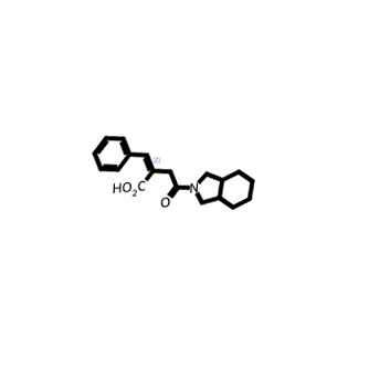 O=C(O)/C(=C\c1ccccc1)CC(=O)N1CC2CCCCC2C1